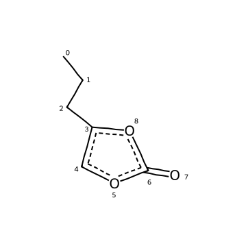 CCCc1coc(=O)o1